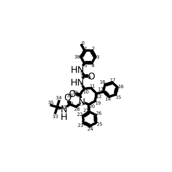 Cc1cccc(NC(=O)NC2CC(c3ccccc3)CC(c3ccccc3)N(CC(=O)NC(C)(C)C)C2=O)c1